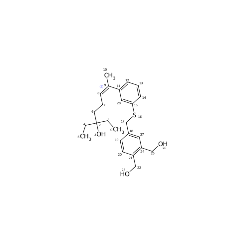 CCC(O)(CC)CC/C=C(/C)c1cccc(SCc2ccc(CO)c(CO)c2)c1